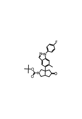 Cc1cc2c(cnn2-c2ccc(F)cc2)cc1C12CC(=O)CC1CN(C(=O)OC(C)(C)C)C2